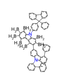 Bc1c(B)c(B)c2c(c1B)c1c(B)c(-c3ccc4c(c3)c3c(-c5ccccc5)cccc3n4-c3ccccc3-c3ccccc3)c(B)c(B)c1n2-c1ccc(C2(c3ccccc3)c3ccccc3-c3ccccc32)cc1